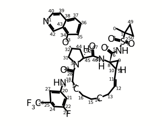 CC1(S(=O)(=O)NC(=O)[C@@]23C[C@H]2/C=C\CCCCC[C@H](Nc2cc(F)cc(C(F)(F)F)c2)C(=O)N2C[C@H](Oc4cccc5ccncc45)C[C@H]2C(=O)N3)CC1